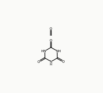 C=O.O=c1[nH]c(=O)[nH]c(=O)[nH]1